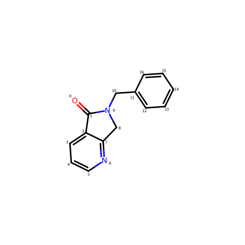 O=C1c2cccnc2CN1Cc1ccccc1